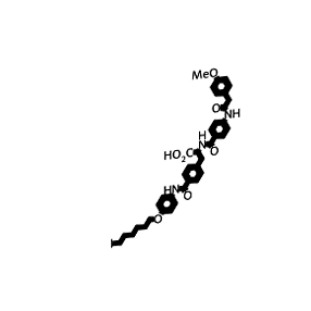 COc1ccc(CC(=O)Nc2ccc(C(=O)NC(Cc3ccc(C(=O)Nc4ccc(OCCCCCCI)cc4)cc3)C(=O)O)cc2)cc1